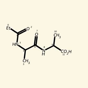 CCC(=O)NC(C)C(=O)NC(C)C(=O)O